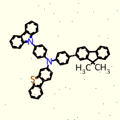 CC1(C)c2ccccc2-c2ccc(-c3ccc(N(c4ccc(-n5c6ccccc6c6ccccc65)cc4)c4ccc5c(c4)sc4ccccc45)cc3)cc21